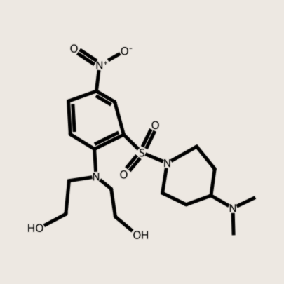 CN(C)C1CCN(S(=O)(=O)c2cc([N+](=O)[O-])ccc2N(CCO)CCO)CC1